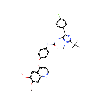 COc1cc2nccc(Oc3ccc(NC(=O)Nc4c(-c5ccc(F)cc5)nc(C(C)(C)C)n4C)cc3)c2cc1OC